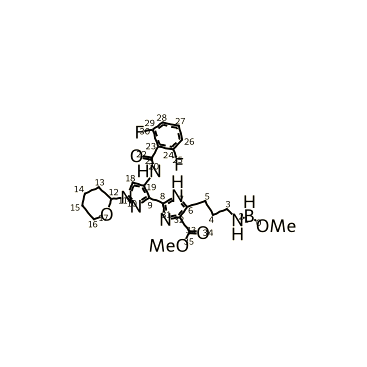 COBNCCCc1[nH]c(-c2nn(C3CCCCO3)cc2NC(=O)c2c(F)cccc2F)nc1C(=O)OC